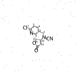 N#CN(Cc1ccc(Cl)nc1)C1=CC(=O)OC1